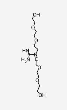 N=C(N)N(CCOCCOCCO)CCOCCOCCO